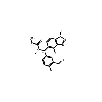 CCCCOC(=O)[C@@H](C)[C@H](c1ccc(C)c(CCl)c1)c1ccc2c(nnn2CC)c1C